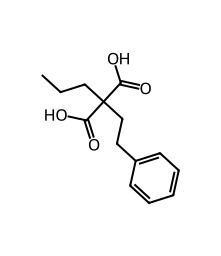 CCCC(CCc1ccccc1)(C(=O)O)C(=O)O